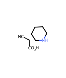 C1CCNCC1.N#CCC(=O)O